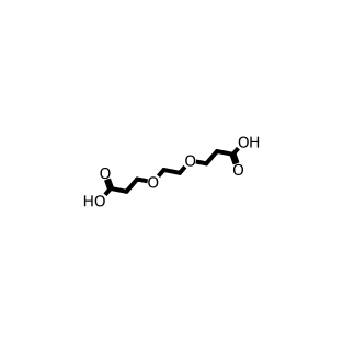 O=C(O)CCOCCOCCC(=O)O